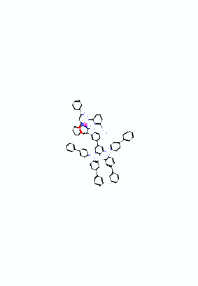 N#Cc1cccc(-c2nc(-c3ccccc3)cc(-c3ccccc3)n2)c1-n1c2ccccc2c2cc(-c3cc4c5c(c3)N(c3ccc(-c6ccccc6)cc3)c3ccc(-c6ccccc6)cc3B5c3cc(-c5ccccc5)ccc3N4c3ccc(-c4ccccc4)cc3)ccc21